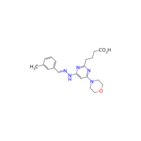 Cc1cccc(/C=N/Nc2cc(N3CCOCC3)nc(CCCC(=O)O)n2)c1